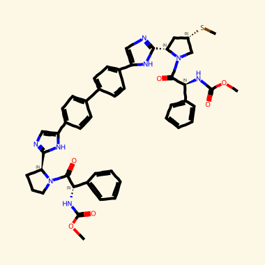 COC(=O)N[C@H](C(=O)N1CCC[C@H]1c1ncc(-c2ccc(-c3ccc(-c4cnc([C@@H]5C[C@H](SC)CN5C(=O)[C@@H](NC(=O)OC)c5ccccc5)[nH]4)cc3)cc2)[nH]1)c1ccccc1